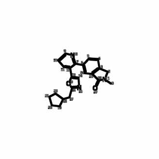 CN1Cc2ccc(-c3ncccc3-c3cnc(CC4CCCC4)o3)cc2C1=O